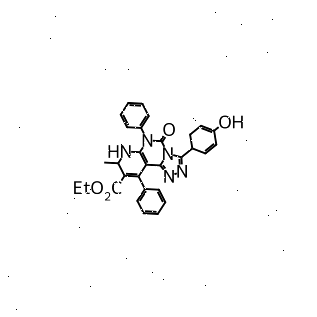 CCOC(=O)C1=C(c2ccccc2)c2c(n(-c3ccccc3)c(=O)n3c(C4C=CC(O)=CC4)nnc23)NC1C